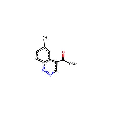 COC(=O)c1cnnc2ccc(C)cc12